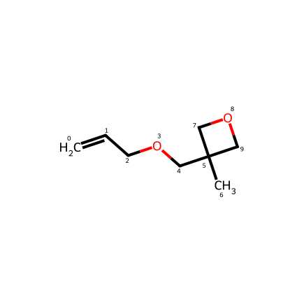 C=CCOCC1(C)COC1